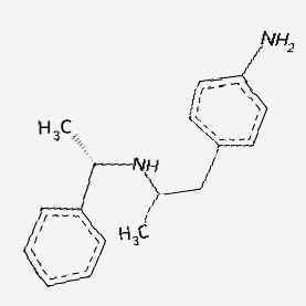 CC(Cc1ccc(N)cc1)N[C@@H](C)c1ccccc1